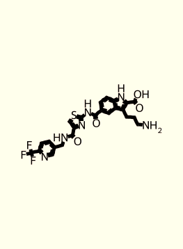 NCCCc1c(C(=O)O)[nH]c2ccc(C(=O)Nc3nc(C(=O)NCc4ccc(C(F)(F)F)nc4)cs3)cc12